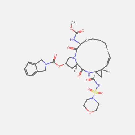 CC(C)(C)OC(=O)N[C@H]1CCCCC/C=C\[C@@H]2C[C@@]2(C(=O)NS(=O)(=O)N2CCOCC2)NC(=O)[C@@H]2C[C@@H](OC(=O)N3Cc4ccccc4C3)CN2C1=O